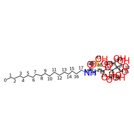 CCCCCCCCCCCCCCCCCCNC(=O)CC(C(=O)OC(C(=O)O)C(C(=O)O)(C(=O)O)C(=O)O)S(=O)(=O)O